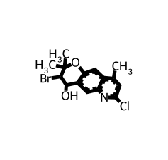 Cc1cc(Cl)nc2cc3c(cc12)OC(C)(C)C(Br)C3O